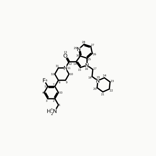 NCc1ccc(F)c(C2CCN(C(=O)c3cn(CCN4CCCCC4)c4cccnc34)CC2)c1